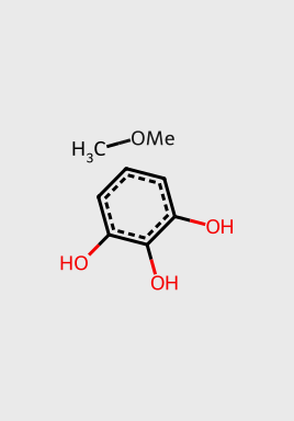 COC.Oc1cccc(O)c1O